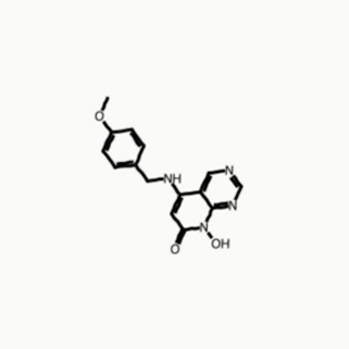 COc1ccc(CNc2cc(=O)n(O)c3ncncc23)cc1